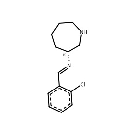 Clc1ccccc1C=N[C@@H]1CCCCNC1